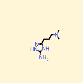 CN(C)CCCC1=NNC(N)N1